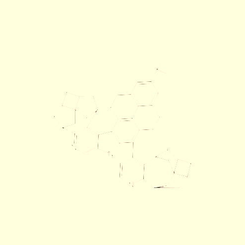 CC(C)(C)c1cc2c3c(c1)CCc1c-3c(c3c4c5c(ncc4n4c6cnc7c(c6c1c34)C1CC3CC4CC7CC43C1)C1CC3CC4CC5CC34C1)CC2